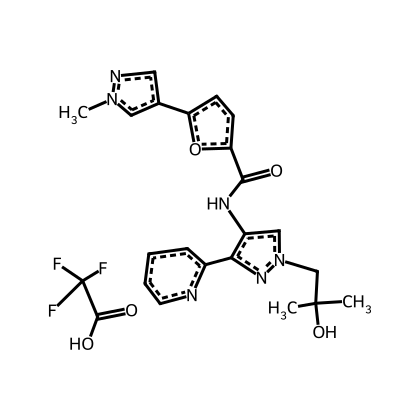 Cn1cc(-c2ccc(C(=O)Nc3cn(CC(C)(C)O)nc3-c3ccccn3)o2)cn1.O=C(O)C(F)(F)F